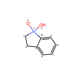 [O-][N+]1(O)CCc2ccccc21